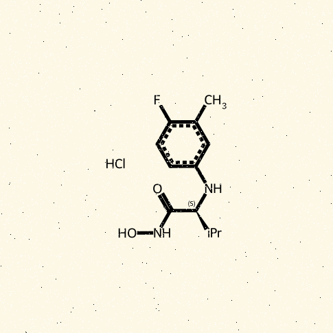 Cc1cc(N[C@H](C(=O)NO)C(C)C)ccc1F.Cl